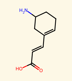 NC1CCC=C(C=CC(=O)O)C1